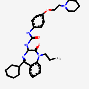 CCCN1C(=O)C(NC(=O)Nc2ccc(OCCN3CCCCC3)cc2)N=C(C2CCCCC2)c2ccccc21